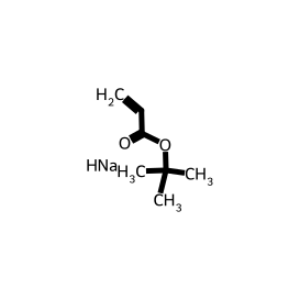 C=CC(=O)OC(C)(C)C.[NaH]